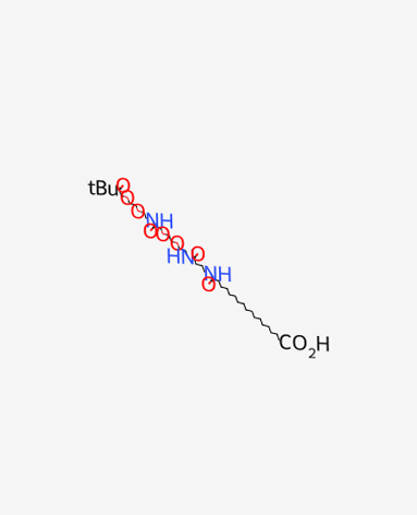 CC(C)(C)C(=O)COCCOCCNC(=O)COCCOCCNC(=O)CCCNC(=O)CCCCCCCCCCCCCCCCC(=O)O